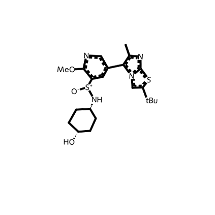 COc1ncc(-c2c(C)nc3sc(C(C)(C)C)cn23)cc1[S+]([O-])N[C@H]1CC[C@@H](O)CC1